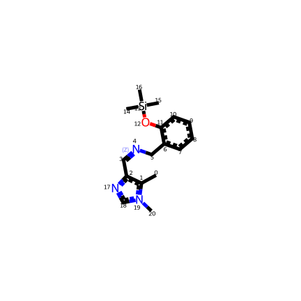 Cc1c(/C=N\Cc2ccccc2O[Si](C)(C)C)ncn1C